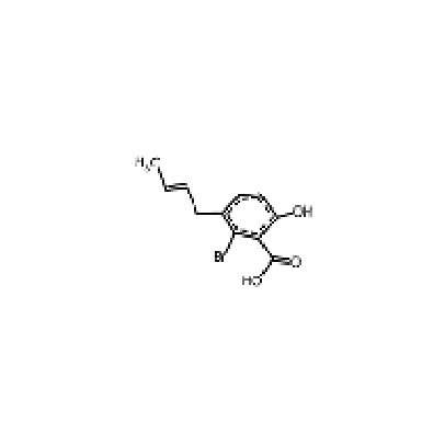 CC=CCc1ccc(O)c(C(=O)O)c1Br